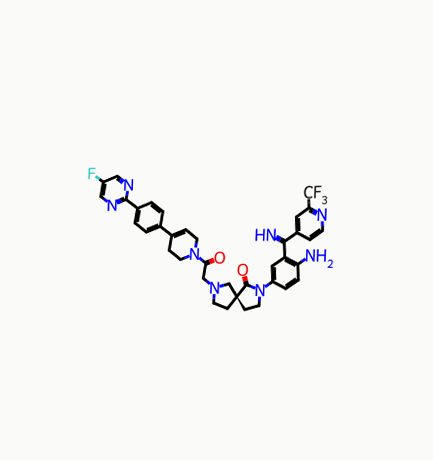 N=C(c1ccnc(C(F)(F)F)c1)c1cc(N2CC[C@]3(CCN(CC(=O)N4CC=C(c5ccc(-c6ncc(F)cn6)cc5)CC4)C3)C2=O)ccc1N